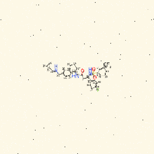 O=C(C[C@@H](NS(=O)(=O)c1cccc(C(F)(F)F)c1)c1ccc(F)cc1)N[C@@H]1CCCc2cc(CNCC3CC3)ccc21